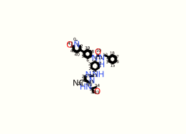 Cn1cc(-c2ccc(N(C(=O)NCc3ccccc3)[C@H]3CC[C@H](Nc4ncc(C#N)c(NC5COC5)n4)CC3)cc2)ccc1=O